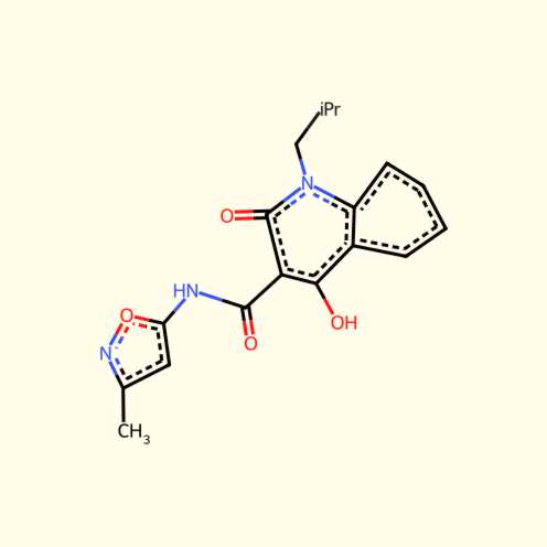 Cc1cc(NC(=O)c2c(O)c3ccccc3n(CC(C)C)c2=O)on1